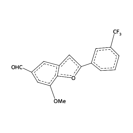 COc1cc(C=O)cc2cc(-c3cccc(C(F)(F)F)c3)oc12